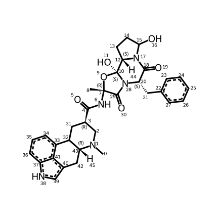 CN1C[C@H](C(=O)N[C@]2(C)O[C@@]3(O)[C@@H]4CCC(O)N4C(=O)[C@H](Cc4ccccc4)N3C2=O)CC2c3cccc4[nH]cc(c34)C[C@H]21